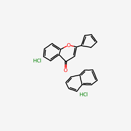 Cl.Cl.O=c1cc(C2=CC=CC2)oc2ccccc12.c1ccc2ccccc2c1